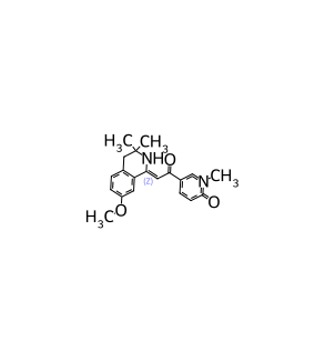 COc1ccc2c(c1)/C(=C/C(=O)c1ccc(=O)n(C)c1)NC(C)(C)C2